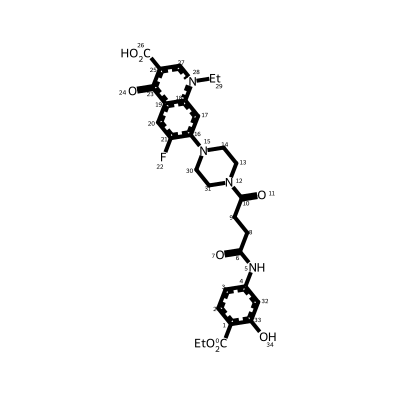 CCOC(=O)c1ccc(NC(=O)CCC(=O)N2CCN(c3cc4c(cc3F)c(=O)c(C(=O)O)cn4CC)CC2)cc1O